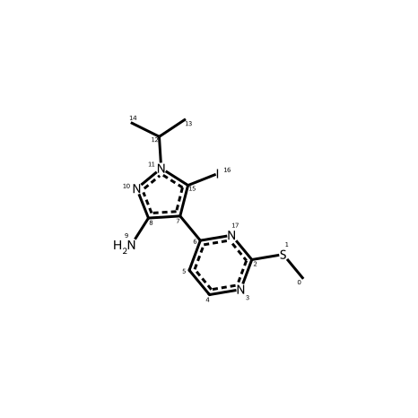 CSc1nccc(-c2c(N)nn(C(C)C)c2I)n1